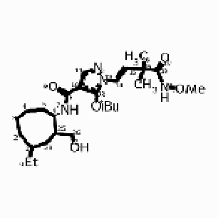 CCC1CCCC[C@H](NC(=O)c2cnn(/C=C/C(C)(C)C(=O)NOC)c2OCC(C)C)C(CO)C1